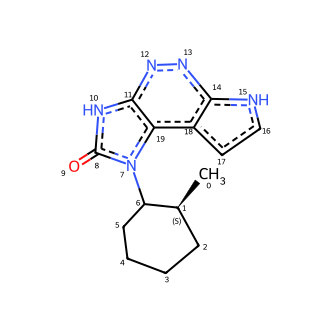 C[C@H]1CCCCC1n1c(=O)[nH]c2nnc3[nH]ccc3c21